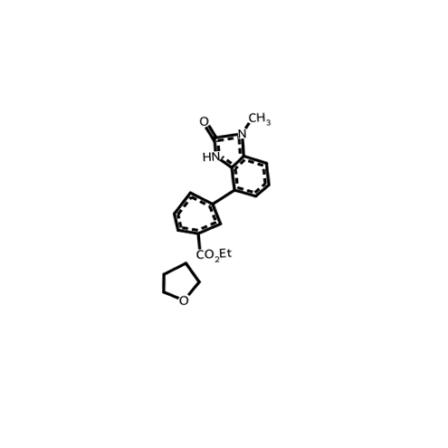 C1CCOC1.CCOC(=O)c1cccc(-c2cccc3c2[nH]c(=O)n3C)c1